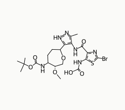 CO[C@H]1COC(c2[nH]nc(C)c2NC(=O)c2nc(Br)sc2NC(=O)O)CCC1NC(=O)OC(C)(C)C